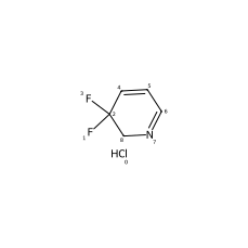 Cl.FC1(F)C=CC=NC1